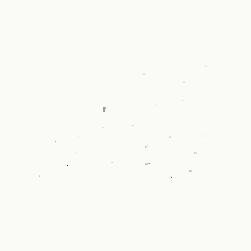 O=S(=O)(Nc1cc(C(F)(F)F)ccc1Oc1cncc(Cl)c1)c1ccc(I)cc1